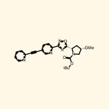 CO[C@H]1C[C@@H](c2nc(-c3ccc(C#Cc4ccccn4)cn3)no2)N(C(=O)OC(C)(C)C)C1